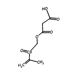 C=[C](C)[Co](=[O])[CH2]OC(=O)CC(=O)O